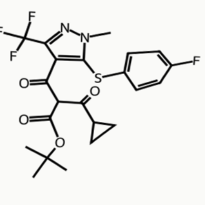 Cn1nc(C(F)(F)F)c(C(=O)C(C(=O)OC(C)(C)C)C(=O)C2CC2)c1Sc1ccc(F)cc1